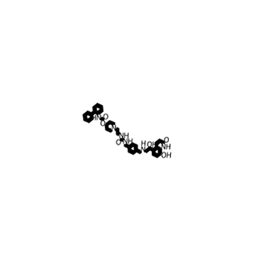 O=C(NCCN1CCC(OC(=O)Nc2ccccc2-c2ccccc2)CC1)NCc1ccc(CNC[C@@H](O)c2ccc(O)c3[nH]c(=O)ccc23)cc1